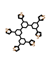 c1cc(C2CC(c3ccsc3)CC(C3CC(c4ccsc4)CC(C4CC(c5ccsc5)CC(C5CC(c6ccsc6)CC(c6ccsc6)C5)C4)C3)C2)cs1